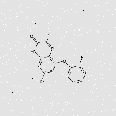 Cc1nc2c(Oc3ccccc3F)cc(Br)cc2[nH]c1=O